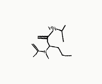 C=C(NC(C)C)C(CCC)N(C)C(=C)C